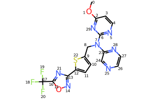 COc1ccnc(N(Cc2ccc(-c3noc(C(F)(F)F)n3)s2)c2cnccn2)n1